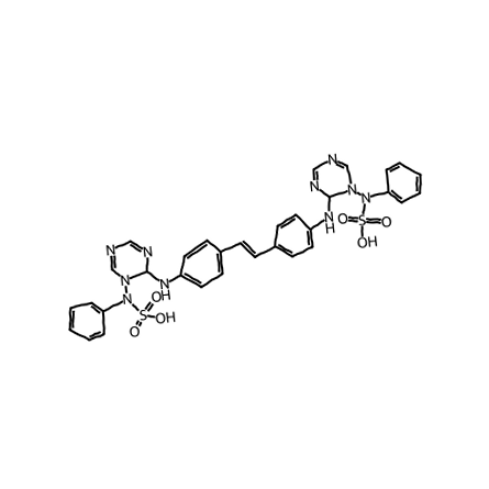 O=S(=O)(O)N(c1ccccc1)N1C=NC=NC1Nc1ccc(C=Cc2ccc(NC3N=CN=CN3N(c3ccccc3)S(=O)(=O)O)cc2)cc1